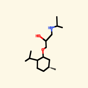 CC(C)NCC(O)COC1C[C@H](C)CCC1C(C)C